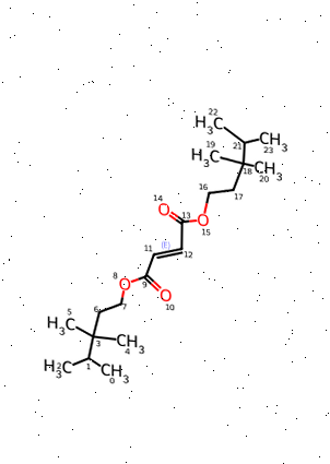 CC(C)C(C)(C)CCOC(=O)/C=C/C(=O)OCCC(C)(C)C(C)C